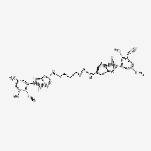 Cc1cc(-n2nc3ccc(SCCCCCCSc4ccc5nn(-c6cc(C)cc(C(C)(C)C)c6O)nc5c4)cc3n2)c(O)c(C(C)(C)C)c1